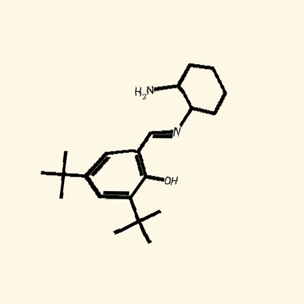 CC(C)(C)c1cc(/C=N/C2CCCCC2N)c(O)c(C(C)(C)C)c1